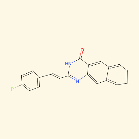 O=c1[nH]c(/C=C/c2ccc(F)cc2)nc2cc3ccccc3cc12